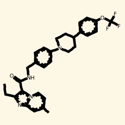 CCc1nc2cc(C)ccn2c1C(=O)NCc1ccc(N2CCC(c3ccc(OC(F)(F)F)cc3)CC2)cc1